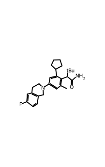 Cc1cc(N2CCc3cc(F)ccc3C2)cc(C2CCCC2)c1C(C(N)=O)C(C)(C)C